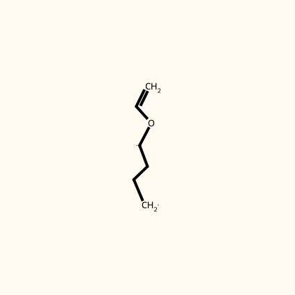 [CH2]CC[CH]OC=C